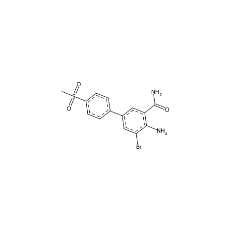 CS(=O)(=O)c1ccc(-c2cc(Br)c(N)c(C(N)=O)c2)cc1